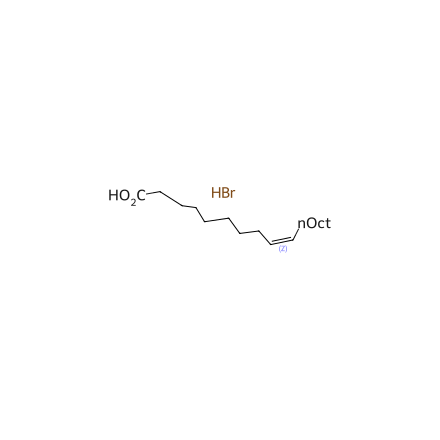 Br.CCCCCCCC/C=C\CCCCCCCC(=O)O